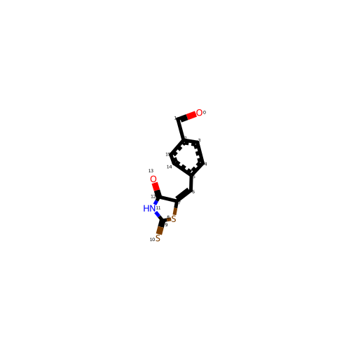 O=Cc1ccc(C=C2SC(=S)NC2=O)cc1